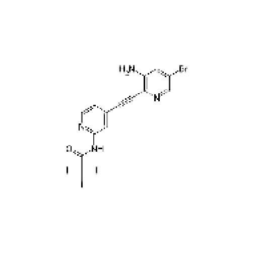 Nc1cc(Br)cnc1C#Cc1ccnc(NC(=O)C(I)(I)I)c1